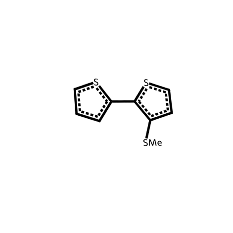 CSc1ccsc1-c1cccs1